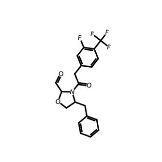 O=CC1OCC(Cc2ccccc2)N1C(=O)Cc1ccc(C(F)(F)F)c(F)c1